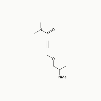 CNC(C)COCC#CC(=O)N(C)C